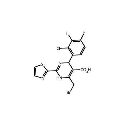 O=C(O)C1=C(CBr)NC(c2nccs2)=NC1c1ccc(F)c(F)c1Cl